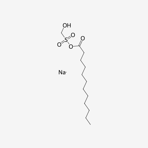 CCCCCCCCCCCC(=O)OS(=O)(=O)CO.[Na]